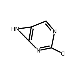 Clc1ncc2c(n1)N2